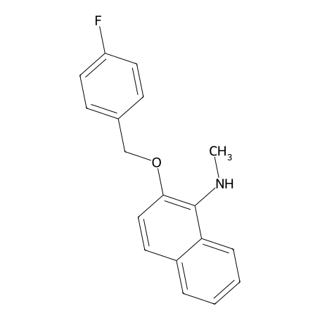 CNc1c(OCc2ccc(F)cc2)ccc2ccccc12